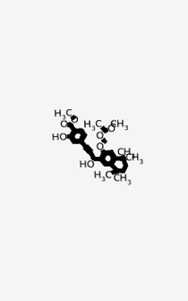 COC(=O)c1ccc(C#CC(O)c2cc3c(cc2OCOC(C)OC)C(C)(C)CCC3(C)C)cc1O